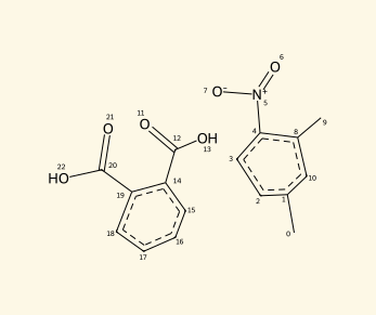 Cc1ccc([N+](=O)[O-])c(C)c1.O=C(O)c1ccccc1C(=O)O